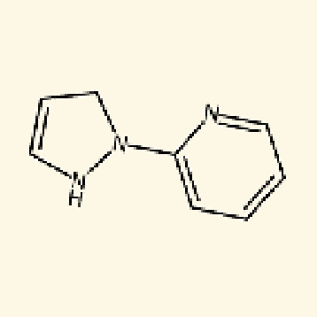 C1=CNN(c2ccccn2)C1